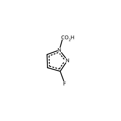 O=C(O)n1ccc(F)n1